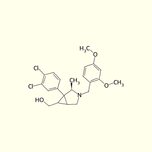 COc1ccc(CN2CC3C(CO)C3(c3ccc(Cl)c(Cl)c3)[C@H]2C)c(OC)c1